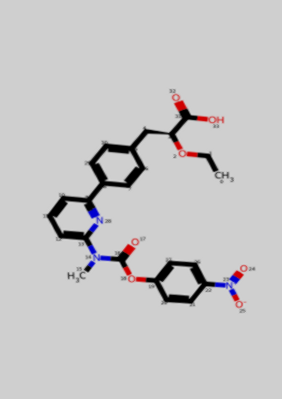 CCO[C@@H](Cc1ccc(-c2cccc(N(C)C(=O)Oc3ccc([N+](=O)[O-])cc3)n2)cc1)C(=O)O